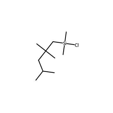 CC(C)CC(C)(C)C[Si](C)(C)Cl